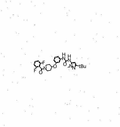 Cn1nc(C(C)(C)C)cc1NC(=O)Nc1cccc(OC2CCN(C(=O)c3c(F)cccc3F)CC2)c1